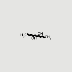 CCCCC(O)CCC(O)CCCC